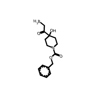 BCC(=O)C1(O)CCN(C(=O)OCc2ccccc2)CC1